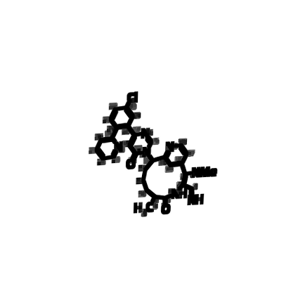 CN/C1=C(\C=N)NC(=O)C(C)CCCC(n2cnc(-c3cc(Cl)ccc3-c3ccccn3)cc2=O)c2cc1ccn2